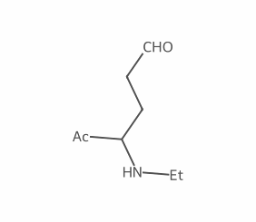 CCNC(CCC=O)C(C)=O